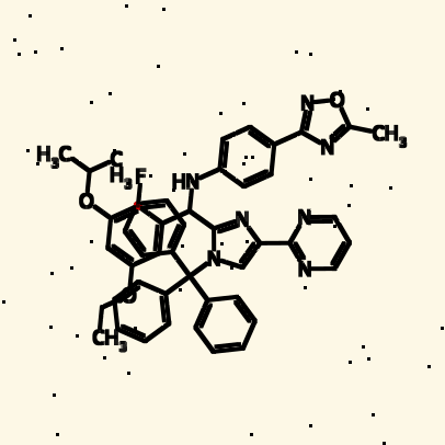 CCOc1cc(OC(C)C)c(F)c(C(Nc2ccc(-c3noc(C)n3)cc2)c2nc(-c3ncccn3)cn2C(c2ccccc2)(c2ccccc2)c2ccccc2)c1